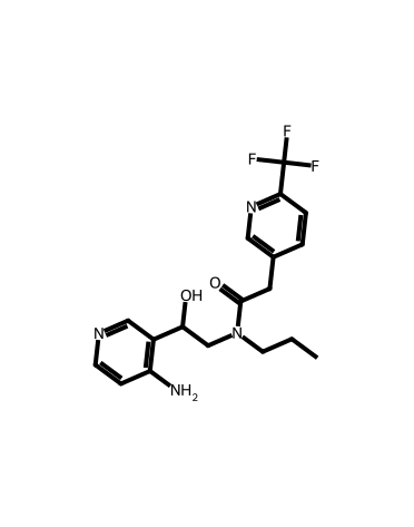 CCCN(CC(O)c1cnccc1N)C(=O)Cc1ccc(C(F)(F)F)nc1